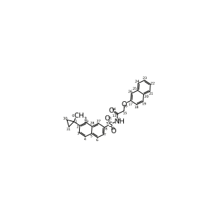 CC1(c2ccc3ccc(S(=O)(=O)NC(=O)COc4ccc5ccccc5c4)cc3c2)CC1